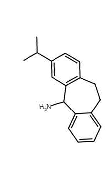 CC(C)c1ccc2c(c1)C(N)c1ccccc1CC2